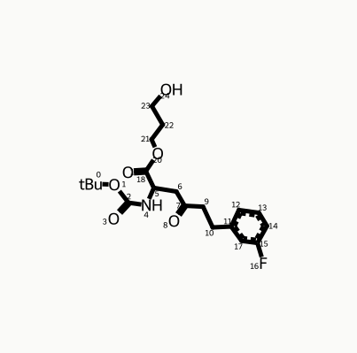 CC(C)(C)OC(=O)NC(CC(=O)CCc1cccc(F)c1)C(=O)OCCCO